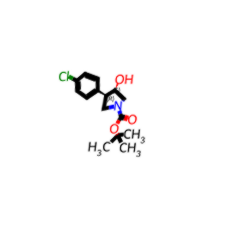 CC(C)(C)OC(=O)N1C[C@@H](O)[C@H](c2ccc(Cl)cc2)C1